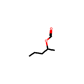 CCCC(C)O[C]=O